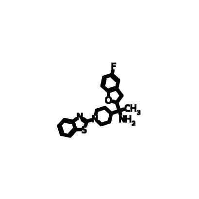 CC(N)(C1CCN(c2nc3ccccc3s2)CC1)C1Cc2cc(F)ccc2O1